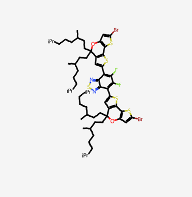 CC(C)CCCC(C)CCC1(CCC(C)CCCC(C)C)Oc2cc(Br)sc2-c2sc(-c3c(F)c(F)c(-c4cc5c(s4)-c4sc(Br)cc4OC5(CCC(C)CCCC(C)C)CCC(C)CCCC(C)C)c4nsnc34)cc21